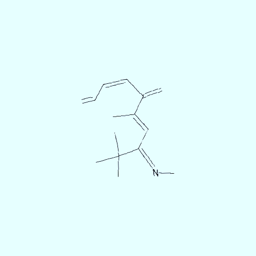 C=C/C=C\C(=C)/C(C)=C/C(=N\C)C(C)(C)C